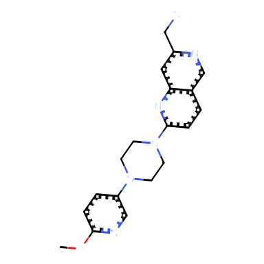 COc1ccc(N2CCN(c3ccc4cnc(CN)cc4n3)CC2)cn1